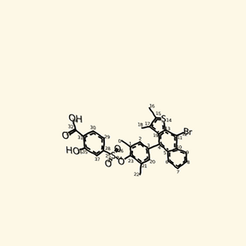 Cc1cc(-c2c3ccccc3c(Br)c3sc(C)c(C)c23)cc(C)c1OS(=O)(=O)c1ccc(C(=O)O)c(O)c1